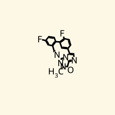 Cn1ncn2c(-c3ccc(F)c(-c4ccc(F)cc4C#N)c3)cnc2c1=O